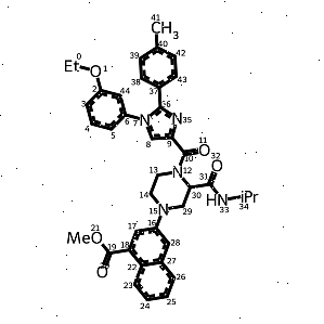 CCOc1cccc(-n2cc(C(=O)N3CCN(c4cc(C(=O)OC)c5ccccc5c4)CC3C(=O)NC(C)C)nc2-c2ccc(C)cc2)c1